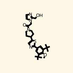 COc1c(C(C)(C)C)cc(-c2ncc(C3CCN(C(=O)Cn4ccnc4CO)CC3)s2)cc1C(C)(C)C